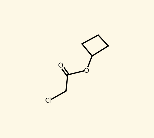 O=C(CCl)OC1CCC1